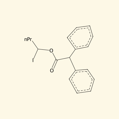 CCCC(I)OC(=O)C(c1ccccc1)c1ccccc1